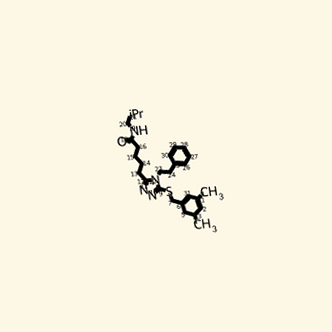 CC1=CC(C)CC(CSc2nnc(CCCCC(=O)NCC(C)C)n2CCc2ccccc2)=C1